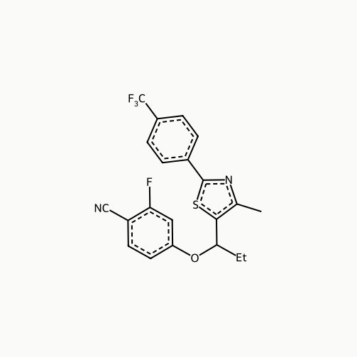 CCC(Oc1ccc(C#N)c(F)c1)c1sc(-c2ccc(C(F)(F)F)cc2)nc1C